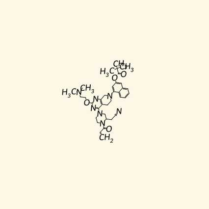 C=CC(=O)N1CCN(c2nc(OCCN(C)C)nc3c2CCN(c2cc(OC(=O)C(C)(C)C)cc4ccccc24)C3)CC1CC#N